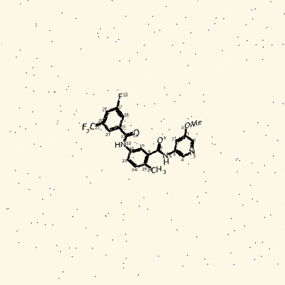 COc1cncc(NC(=O)c2cc(NC(=O)c3cc(F)cc(C(F)(F)F)c3)ccc2C)c1